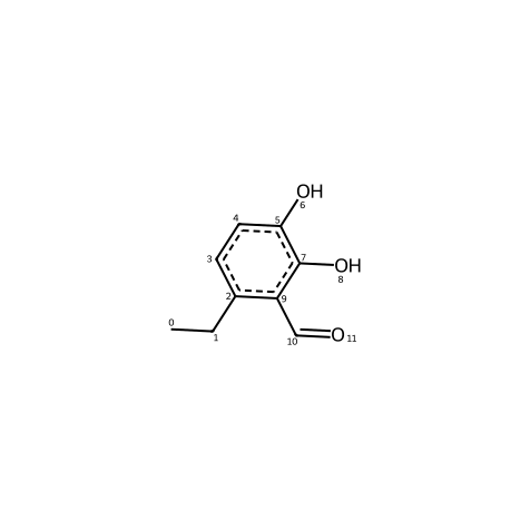 CCc1ccc(O)c(O)c1C=O